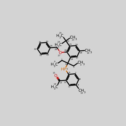 CCC(CC)(Pc1ccc(C)cc1C(C)=O)c1cc(C)cc(C(C)(C)C)c1OCc1ccccc1